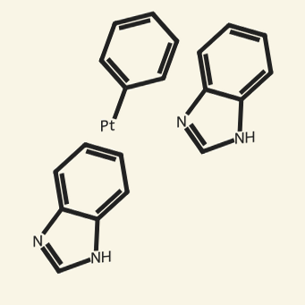 [Pt][c]1ccccc1.c1ccc2[nH]cnc2c1.c1ccc2[nH]cnc2c1